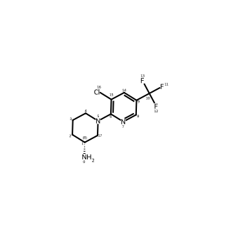 N[C@@H]1CCCN(c2ncc(C(F)(F)F)cc2Cl)C1